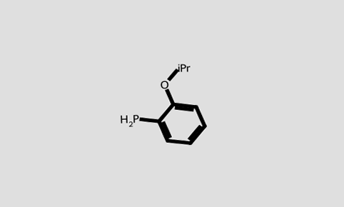 CC(C)Oc1ccccc1P